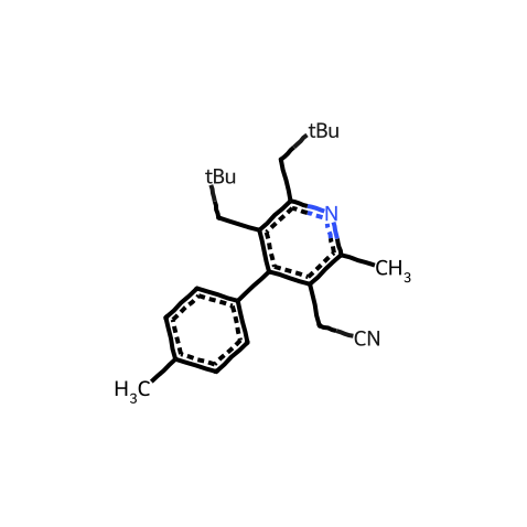 Cc1ccc(-c2c(CC#N)c(C)nc(CC(C)(C)C)c2CC(C)(C)C)cc1